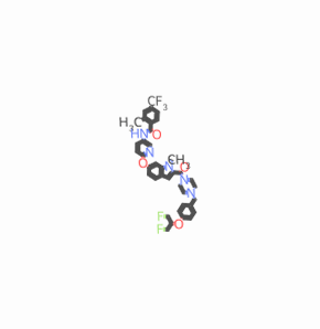 Cc1cc(C(F)(F)F)ccc1C(=O)Nc1ccc(Oc2ccc3cc(C(=O)N4CCN(Cc5ccc(OC(CF)CF)cc5)CC4)n(C)c3c2)nc1